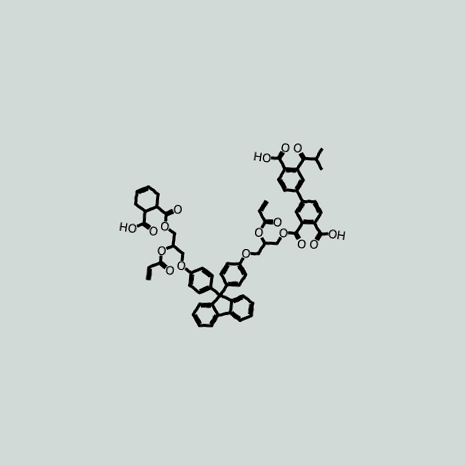 C=CC(=O)OC(COC(=O)c1cc(-c2ccc(C(=O)O)c(C(=O)C(C)C)c2)ccc1C(=O)O)COc1ccc(C2(c3ccc(OCC(COC(=O)C4CC=CCC4C(=O)O)OC(=O)C=C)cc3)c3ccccc3-c3ccccc32)cc1